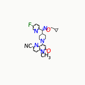 Cn1c(=O)cc(N2CCC(/C(=N\OCC3CC3)c3ccc(F)cn3)CC2)c2nc(C#N)ccc21